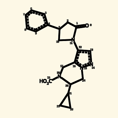 O=C1CC(c2ccccc2)CN1c1cnn2c1CN(C(=O)O)C(C1CC1)C2